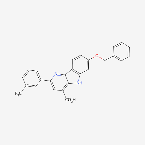 O=C(O)c1cc(-c2cccc(C(F)(F)F)c2)nc2c1[nH]c1cc(OCc3ccccc3)ccc12